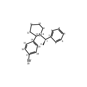 C[C@H](c1ccccc1)N1CCCCC1c1ccc(Br)cc1